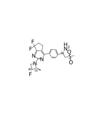 C[C@H]1[C@H](F)CN1c1nc(-c2ccc([C@H](N)CS(C)(=O)=O)cc2)c2c(n1)C(F)(F)CC2